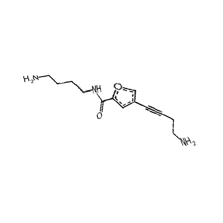 NCCC#Cc1coc(C(=O)NCCCCN)c1